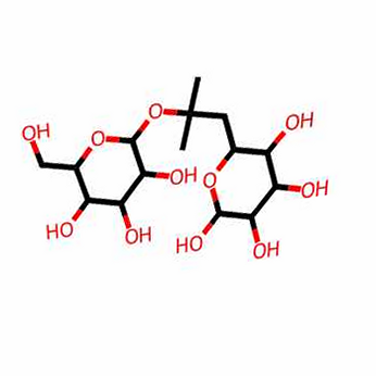 CC(C)(CC1OC(O)C(O)C(O)C1O)OC1OC(CO)C(O)C(O)C1O